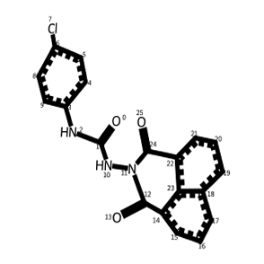 O=C(Nc1ccc(Cl)cc1)NN1C(=O)c2cccc3cccc(c23)C1=O